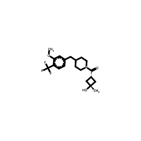 COc1cc(CC2CCN(C(=O)[C@H]3C[C@@](C)(O)C3)CC2)ccc1C(F)(F)F